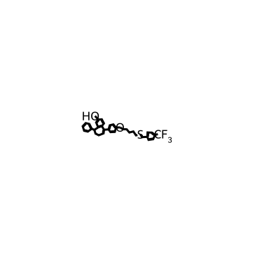 Oc1ccc2c(c1)C(c1ccccc1)CCC=C2c1ccc(OCCCCCSCc2ccc(C(F)(F)F)cc2)cc1